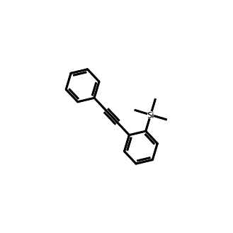 C[Si](C)(C)c1ccccc1C#Cc1ccccc1